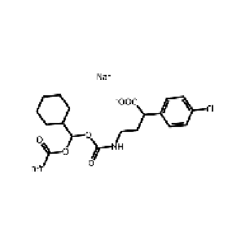 CCCC(=O)OC(OC(=O)NCCC(C(=O)[O-])c1ccc(Cl)cc1)C1CCCCC1.[Na+]